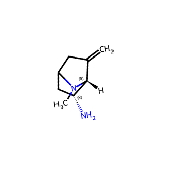 C=C1CC2C[C@@H](N)[C@@H]1N2C